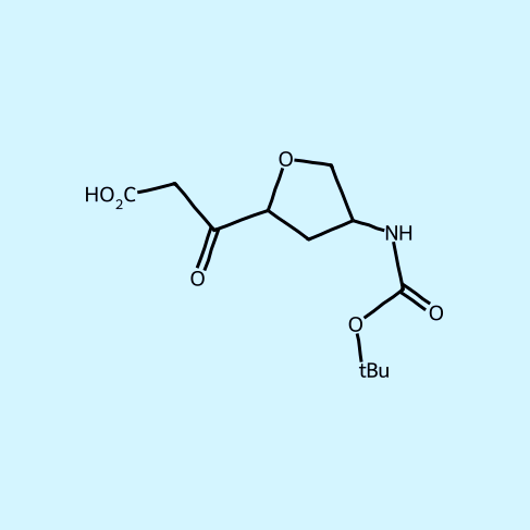 CC(C)(C)OC(=O)NC1COC(C(=O)CC(=O)O)C1